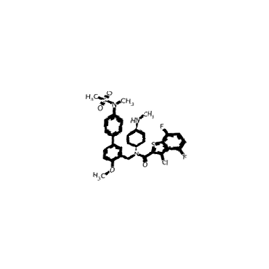 CN[C@H]1CC[C@H](N(Cc2cc(-c3ccc(N(C)S(C)(=O)=O)cc3)ccc2OC)C(=O)c2sc3c(F)ccc(F)c3c2Cl)CC1